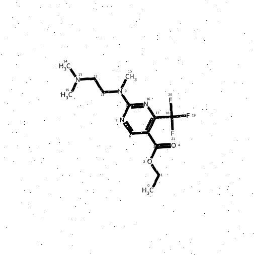 CCOC(=O)c1cnc(N(C)CCN(C)C)nc1C(F)(F)F